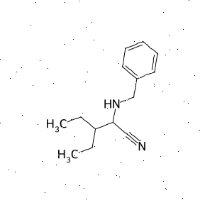 CCC(CC)C(C#N)NCc1ccccc1